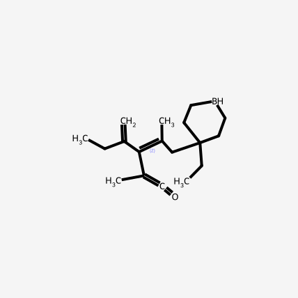 C=C(CC)/C(C(C)=C=O)=C(\C)CC1(CC)CCBCC1